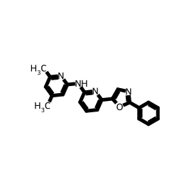 Cc1cc(C)nc(Nc2cccc(-c3cnc(-c4ccccc4)o3)n2)c1